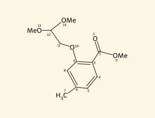 COC(=O)c1ccc(C)cc1OCC(OC)OC